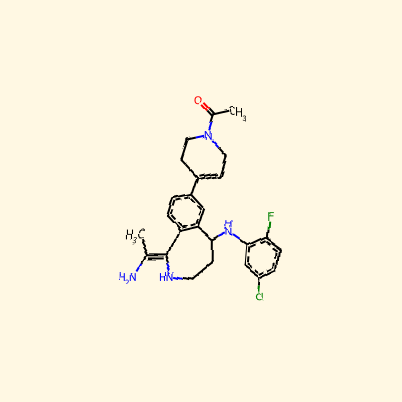 CC(=O)N1CC=C(c2ccc3c(c2)C(Nc2cc(Cl)ccc2F)CCN/C3=C(/C)N)CC1